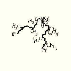 CCP(=O)(OCCC(C)CCCC(C)CCCC(C)CCCC(C)C)OCCC(C)CCCC(C)CCCC(C)CCCC(C)C